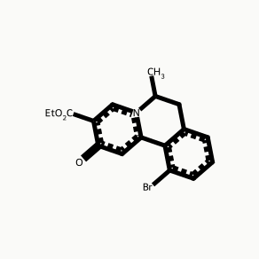 CCOC(=O)c1cn2c(cc1=O)-c1c(Br)cccc1CC2C